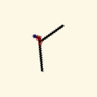 CCCCCCCCCCCCCCCCCCCCCCCCOC[C@H](COP(=O)([O-])OCC[N+](C)(C)C)OCCCCCCCCCCCCCCCCCCCCCCCC